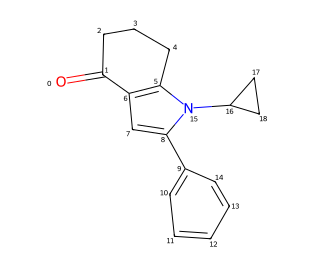 O=C1CCCc2c1cc(-c1ccccc1)n2C1CC1